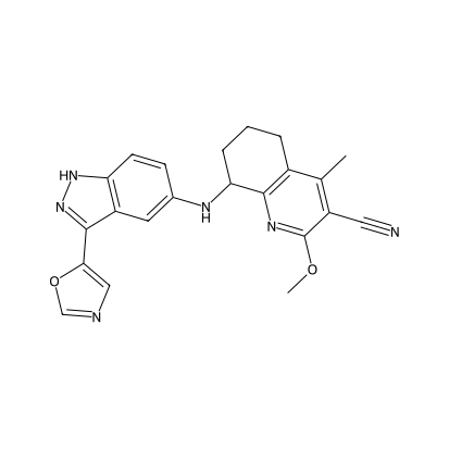 COc1nc2c(c(C)c1C#N)CCCC2Nc1ccc2[nH]nc(-c3cnco3)c2c1